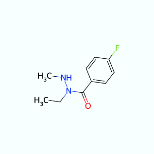 CCN(NC)C(=O)c1ccc(F)cc1